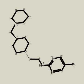 Brc1cnc(NCC[C@H]2CC[C@H](CN3CCCCC3)CC2)nc1